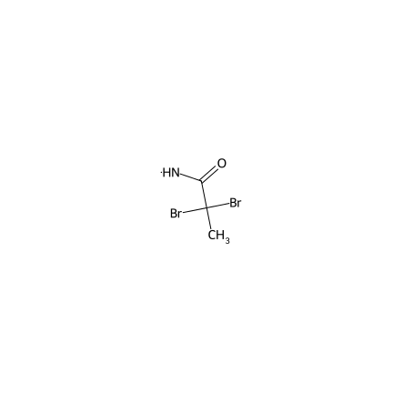 CC(Br)(Br)C([NH])=O